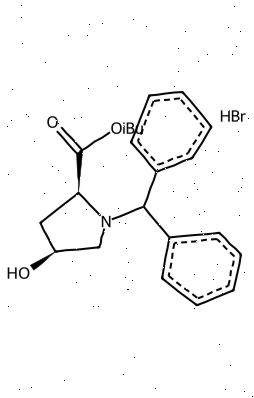 Br.CC(C)COC(=O)[C@@H]1C[C@H](O)CN1C(c1ccccc1)c1ccccc1